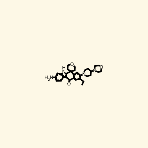 CCc1cc2c(cc1N1CCC(N3CCOCC3)CC1)C1(CCOCC1)c1[nH]c3cc(N)ccc3c1C2=O